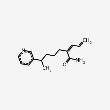 C=CC=C(CCCC(C)c1cccnc1)C(N)=O